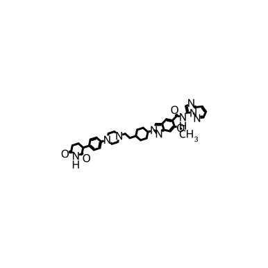 COc1cc2nn(C3CCC(CCN4CCN(c5ccc(C6CCC(=O)NC6=O)cc5)CC4)CC3)cc2cc1C(=O)Nc1cnc2cccnn12